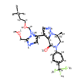 COCc1ncc(-c2cnn3c2C(=O)N(c2ccc(C(F)(F)F)cc2)C[C@@H]3C)n1COCC[Si](C)(C)C